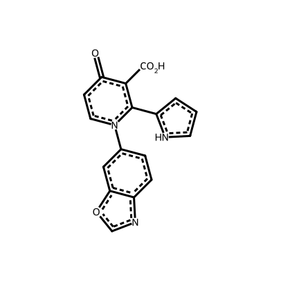 O=C(O)c1c(-c2ccc[nH]2)n(-c2ccc3ncoc3c2)ccc1=O